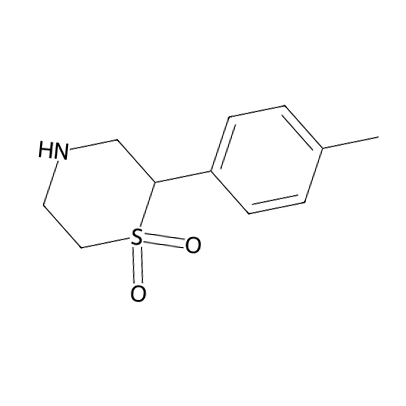 Cc1ccc(C2CNCCS2(=O)=O)cc1